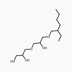 CCCCC(CC)COCC(O)COCC(O)CO